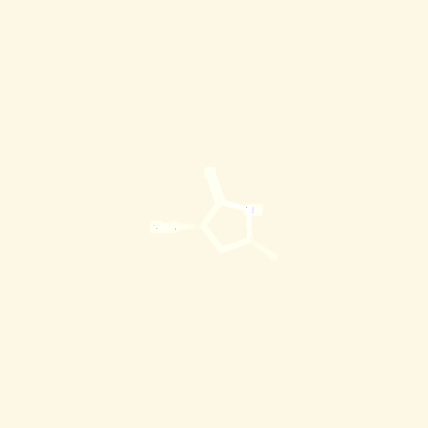 CN[C@H]1C[C@@H](C)NC1=O